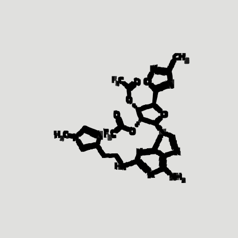 Cc1noc([C@H]2O[C@@H](n3cnc4c(N)nc(NCCc5cn(C)cn5)nc43)[C@H](OC(=O)C(F)(F)F)[C@@H]2OC(=O)C(F)(F)F)n1